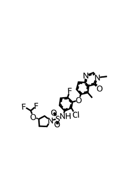 Cc1c(Oc2c(F)ccc(NS(=O)(=O)N3CC[C@@H](OC(F)F)C3)c2Cl)ccc2ncn(C)c(=O)c12